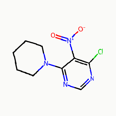 O=[N+]([O-])c1c(Cl)ncnc1N1CCCCC1